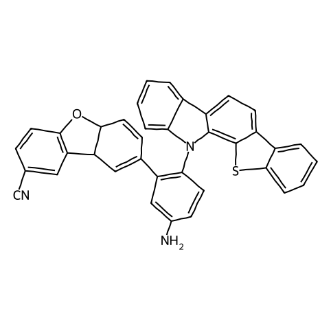 N#Cc1ccc2c(c1)C1C=C(c3cc(N)ccc3-n3c4ccccc4c4ccc5c6ccccc6sc5c43)C=CC1O2